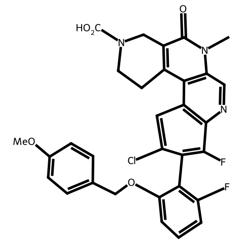 COc1ccc(COc2cccc(F)c2-c2c(Cl)cc3c(ncc4c3c3c(c(=O)n4C)CN(C(=O)O)CC3)c2F)cc1